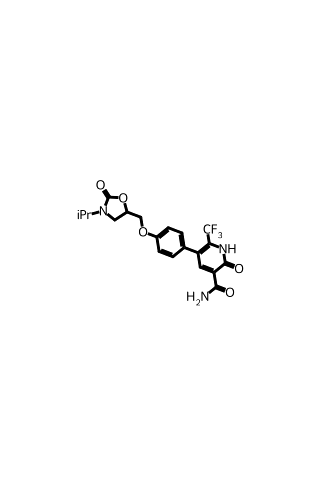 CC(C)N1CC(COc2ccc(-c3cc(C(N)=O)c(=O)[nH]c3C(F)(F)F)cc2)OC1=O